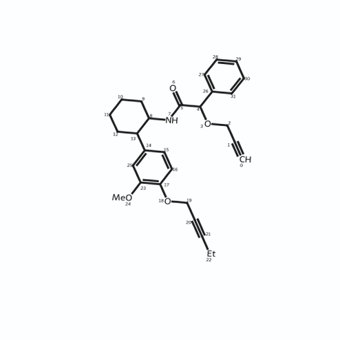 C#CCOC(C(=O)NC1CCCCC1c1ccc(OCC#CCC)c(OC)c1)c1ccccc1